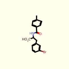 Cc1ccc(C(=O)NC(Cc2cccc(Br)c2)C(=O)O)cc1